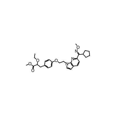 CCOC(Cc1ccc(OCCn2ccc3ccc(C(=NOC)C4CCCC4)nc32)cc1)C(=O)OC